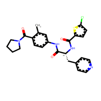 Cc1cc(NC(=O)[C@@H](Cc2ccncc2)NC(=O)c2ccc(Cl)s2)ccc1C(=O)N1CCCC1